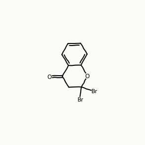 O=C1CC(Br)(Br)Oc2ccccc21